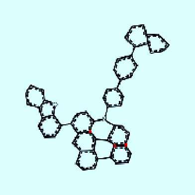 c1ccc(-c2cccc3cccc(-c4ccccc4N(c4ccc(-c5ccc(-c6cccc7ccccc67)cc5)cc4)c4ccc(-c5cccc6c5oc5ccccc56)cc4)c23)cc1